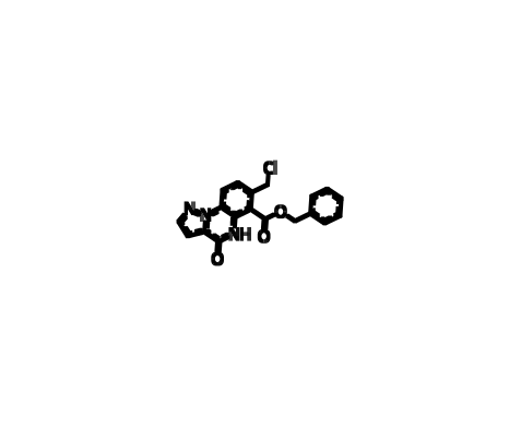 O=C(OCc1ccccc1)c1c(CCl)ccc2c1[nH]c(=O)c1ccnn12